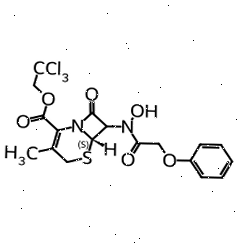 CC1=C(C(=O)OCC(Cl)(Cl)Cl)N2C(=O)C(N(O)C(=O)COc3ccccc3)[C@@H]2SC1